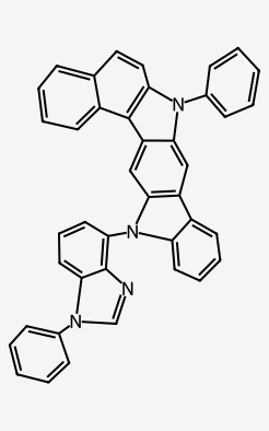 c1ccc(-n2cnc3c(-n4c5ccccc5c5cc6c(cc54)c4c5ccccc5ccc4n6-c4ccccc4)cccc32)cc1